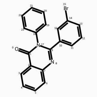 O=c1c2ccccc2nc(-c2cccc(Br)c2)n1-c1ccccc1